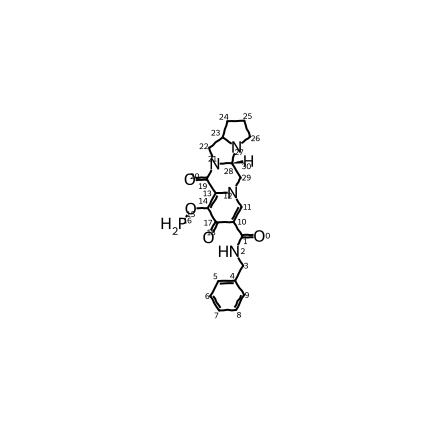 O=C(NCc1ccccc1)c1cn2c(c(OP)c1=O)C(=O)N1CC3CCCN3[C@@H]1C2